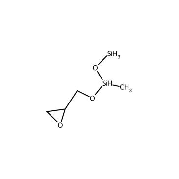 C[SiH](O[SiH3])OCC1CO1